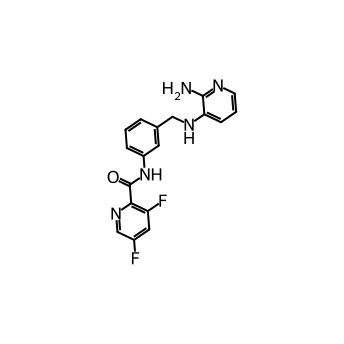 Nc1ncccc1NCc1cccc(NC(=O)c2ncc(F)cc2F)c1